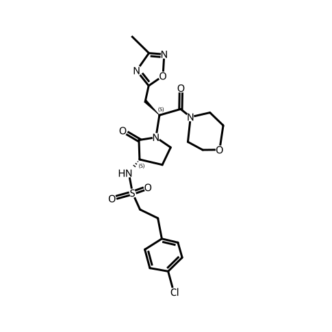 Cc1noc(C[C@@H](C(=O)N2CCOCC2)N2CC[C@H](NS(=O)(=O)CCc3ccc(Cl)cc3)C2=O)n1